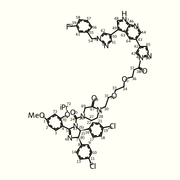 COc1ccc(C2=N[C@H](c3ccc(Cl)cc3)[C@H](c3ccc(Cl)cc3)N2C(=O)N2CCN(CCOCCOCCC(=O)n3cc(-c4cnc5[nH]cc(-c6cnn(Cc7cccc(F)c7)c6)c5c4)cn3)C(=O)C2)c(OC(C)C)c1